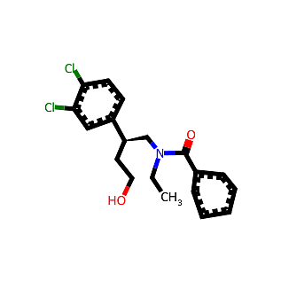 CCN(C[C@@H](CCO)c1ccc(Cl)c(Cl)c1)C(=O)c1ccccc1